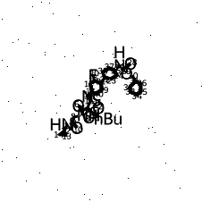 CCCCS(=O)(=O)C(C(=O)NCC(=O)NC1CC1)c1nc2cc(F)c(-c3ccc(NC(=O)OCc4ccccc4)cc3)cc2s1